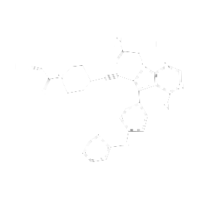 C=CC(=O)N1CCC(C#Cc2c(-c3ccc(Oc4ccccc4)cc3)c3c(N)ncnc3n2C(C)C(N)=O)CC1